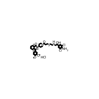 COc1ccc(C2=NN(C3CCN(C(=O)CCSCCNCC(O)c4cc(Cl)c(N)c(Cl)c4)CC3)C(=O)[C@@H]3CC=CC[C@H]23)cc1OC.Cl